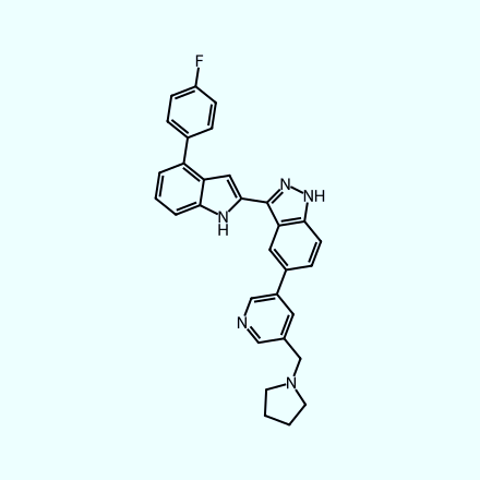 Fc1ccc(-c2cccc3[nH]c(-c4n[nH]c5ccc(-c6cncc(CN7CCCC7)c6)cc45)cc23)cc1